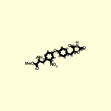 COC(=O)C(N)Cc1ccc(Oc2ccc(/C=C3/OC(=O)NC3=O)cc2)cc1[N+](=O)[O-]